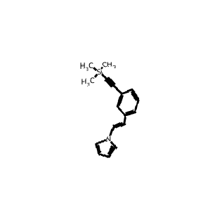 C[Si](C)(C)C#Cc1cccc(C=Cn2cccc2)c1